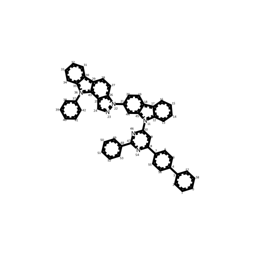 c1ccc(-c2ccc(-c3cc(-n4c5ccccc5c5ccc(-n6ncc7c6ccc6c8ccccc8n(-c8ccccc8)c67)cc54)nc(-c4ccccc4)n3)cc2)cc1